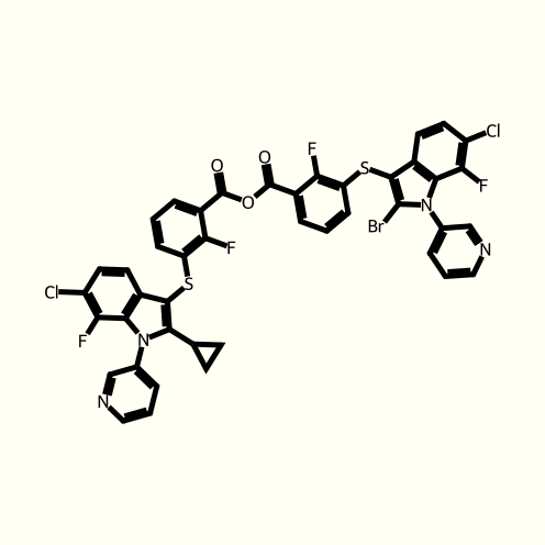 O=C(OC(=O)c1cccc(Sc2c(C3CC3)n(-c3cccnc3)c3c(F)c(Cl)ccc23)c1F)c1cccc(Sc2c(Br)n(-c3cccnc3)c3c(F)c(Cl)ccc23)c1F